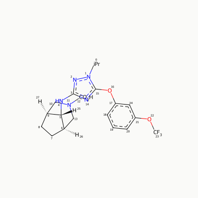 CC(C)n1nc(N[C@@H]2[C@@H]3CC[C@H]2CN(C(=O)O)C3)nc1Oc1cccc(OC(F)(F)F)c1